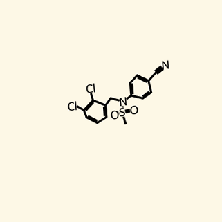 CS(=O)(=O)N(Cc1cccc(Cl)c1Cl)c1ccc(C#N)cc1